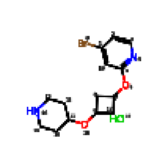 Brc1ccnc(OC2CC(OC3CCNCC3)C2)c1.Cl